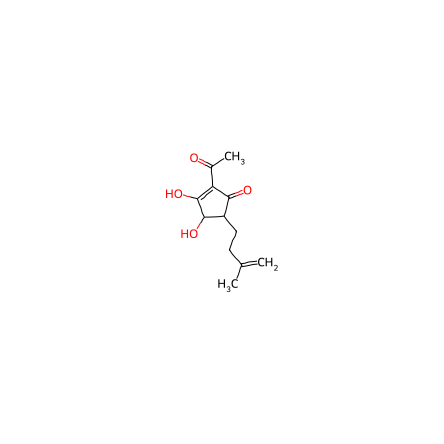 C=C(C)CCC1C(=O)C(C(C)=O)=C(O)C1O